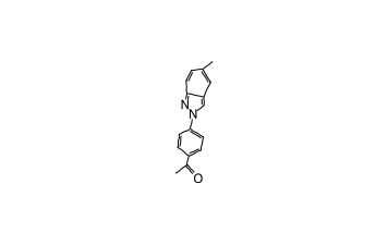 CC(=O)c1ccc(-n2cc3cc(C)ccc3n2)cc1